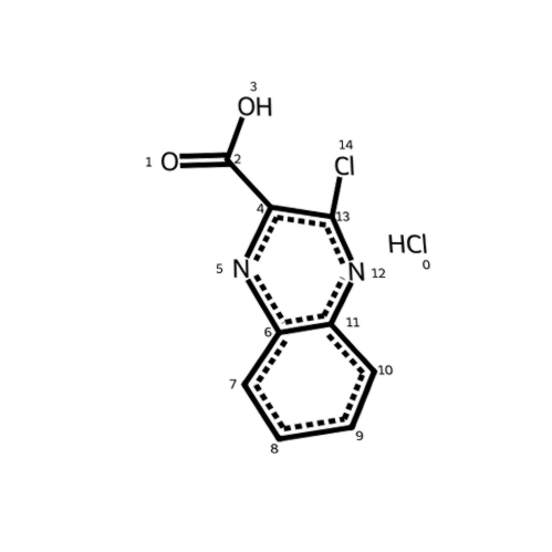 Cl.O=C(O)c1nc2ccccc2nc1Cl